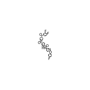 O=C(Nc1ccc(Oc2ccc(F)cc2)nc1)c1ccc(C(=O)N2CCC(C(=O)c3ccc(F)c(F)c3)CC2)cn1